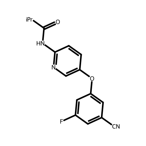 CC(C)C(=O)Nc1ccc(Oc2cc(F)cc(C#N)c2)cn1